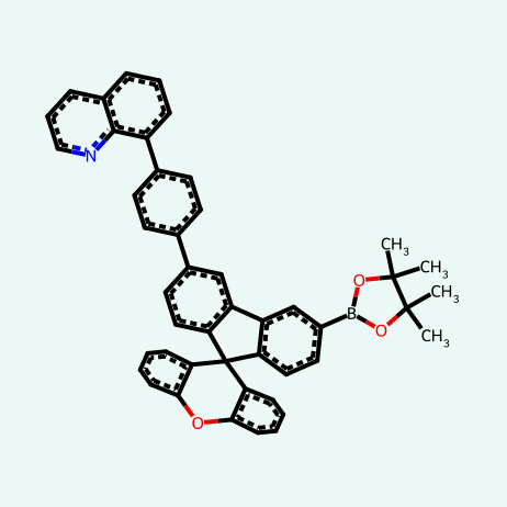 CC1(C)OB(c2ccc3c(c2)-c2cc(-c4ccc(-c5cccc6cccnc56)cc4)ccc2C32c3ccccc3Oc3ccccc32)OC1(C)C